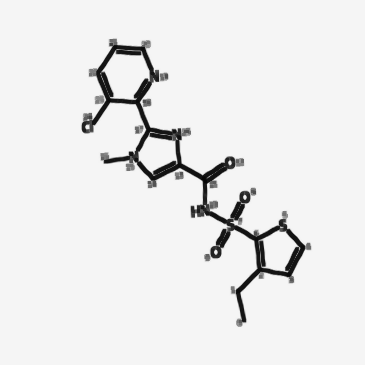 CCc1ccsc1S(=O)(=O)NC(=O)c1cn(C)c(-c2ncccc2Cl)n1